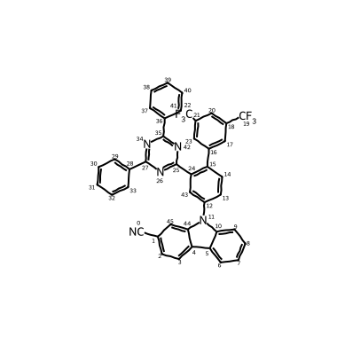 N#Cc1ccc2c3ccccc3n(-c3ccc(-c4cc(C(F)(F)F)cc(C(F)(F)F)c4)c(-c4nc(-c5ccccc5)nc(-c5ccccc5)n4)c3)c2c1